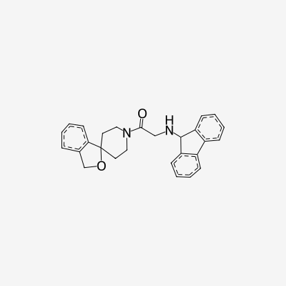 O=C(CNC1c2ccccc2-c2ccccc21)N1CCC2(CC1)OCc1ccccc12